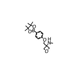 CNC1(COc2ccc(B3OC(C)(C)C(C)(C)O3)cc2)COC1